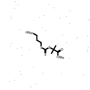 CCCCCCCCCCCCSC(=S)SC(C)(C)C(=O)OC